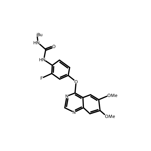 CCC(C)NC(=O)Nc1ccc(Oc2ncnc3cc(OC)c(OC)cc23)cc1F